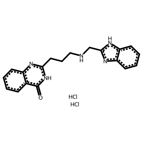 Cl.Cl.O=c1[nH]c(CCCNCc2nc3ccccc3[nH]2)nc2ccccc12